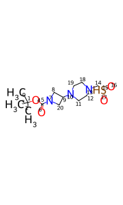 CC(C)(C)OC(=O)N1CC(N2CCN(C[SH](=O)=O)CC2)C1